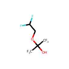 OC(OCC(F)F)(C(F)(F)F)C(F)(F)F